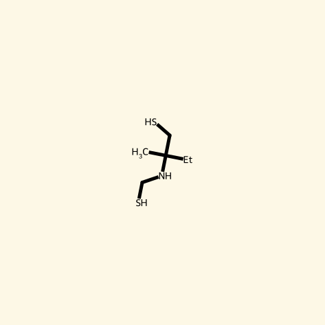 CCC(C)(CS)NCS